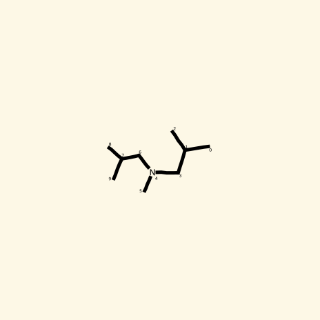 CC(C)CN(C)CC(C)C